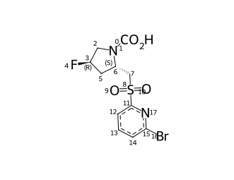 O=C(O)N1C[C@H](F)C[C@H]1CS(=O)(=O)c1cccc(Br)n1